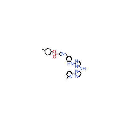 Cc1cccc(-c2nccc(Nc3ccnc(Nc4ccc(CN5CC(C(=O)O[C@H]6CCCC(C)CC6)C5)cc4)n3)n2)n1